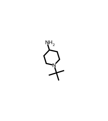 CC(C)(C)N1CCC(N)CC1